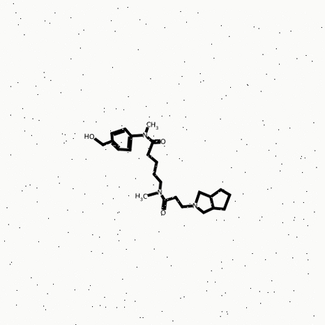 CN(CCCCC(=O)N(C)c1ccc(CO)cc1)C(=O)CCN1CC2CCCC2C1